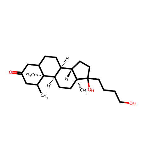 CC1CC(=O)CC2CC[C@@H]3[C@@H](CC[C@@]4(C)[C@H]3CCC4(O)CCCCO)[C@@]12C